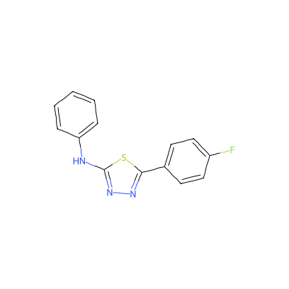 Fc1ccc(-c2nnc(Nc3ccccc3)s2)cc1